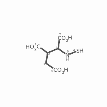 O=C(O)CC(C(=O)O)C(NS)C(=O)O